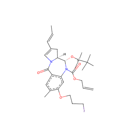 C=CCOC(=O)N1c2cc(OCCCI)c(C)cc2C(=O)N2C=C(/C=C/C)C[C@H]2[C@@H]1O[Si](C)(C)C(C)(C)C